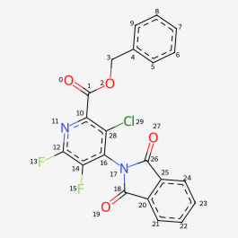 O=C(OCc1ccccc1)c1nc(F)c(F)c(N2C(=O)c3ccccc3C2=O)c1Cl